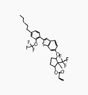 C=CC(=O)OC1CCC(Oc2ccc3cc(-c4ccc(CCCCC)cc4OC(F)(F)F)sc3c2)C1(C)C(F)(F)F